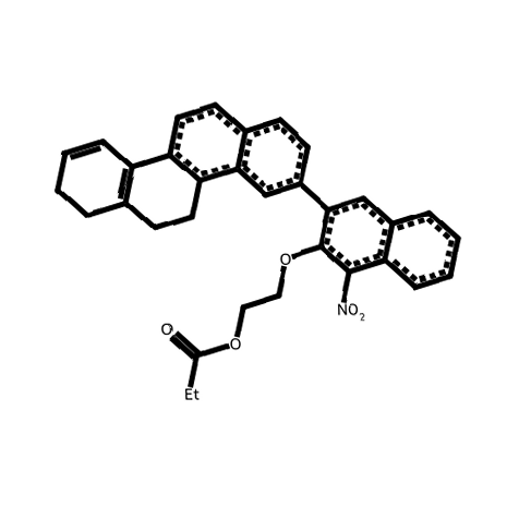 CCC(=O)OCCOc1c(-c2ccc3ccc4c(c3c2)CCC2=C4C=CCC2)cc2ccccc2c1[N+](=O)[O-]